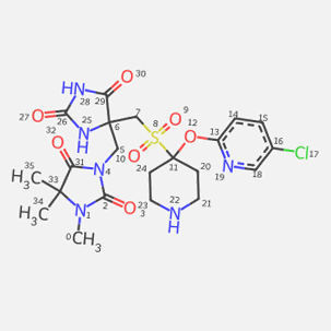 CN1C(=O)N(CC2(CS(=O)(=O)C3(Oc4ccc(Cl)cn4)CCNCC3)NC(=O)NC2=O)C(=O)C1(C)C